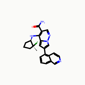 C[C@]1(F)CCC[C@H]1Nc1c(C(N)=O)cnn2cc(-c3cccc4cnccc34)cc12